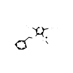 CS(=O)(=O)c1c(C=O)sc(C#N)c1OCc1ccccc1